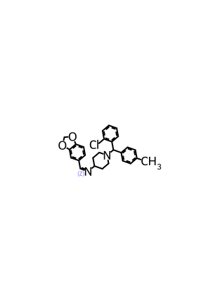 Cc1ccc(C(c2ccccc2Cl)N2CCC(/N=C\c3ccc4c(c3)OCO4)CC2)cc1